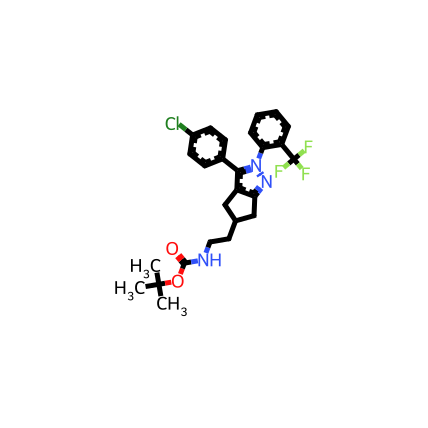 CC(C)(C)OC(=O)NCCC1Cc2nn(-c3ccccc3C(F)(F)F)c(-c3ccc(Cl)cc3)c2C1